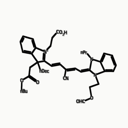 CCCCCCCCCCC1(CC(=O)OCCCC)C(/C=C/C(C#N)=C/C=C2\N(CCC)c3ccccc3N2CCOC=O)=[N+](CCC(=O)O)c2ccccc21